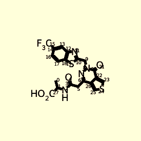 CC(NC(=O)Cc1nn(Cc2nc3cc(C(F)(F)F)ccc3s2)c(=O)c2cscc12)C(=O)O